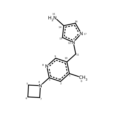 Cc1cc(N2CCC2)ncc1Cn1cc(N)cn1